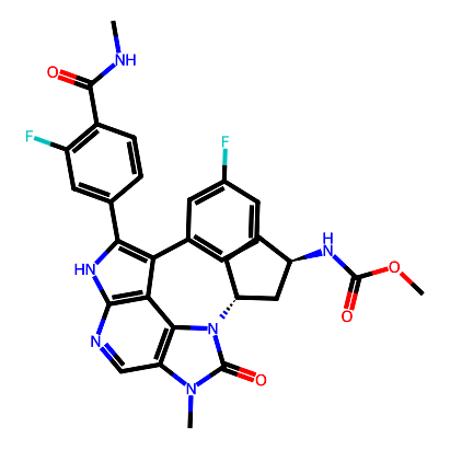 CNC(=O)c1ccc(-c2[nH]c3ncc4c(c3c2-c2cccc(F)c2)n([C@@H]2CC[C@@H](NC(=O)OC)C2)c(=O)n4C)cc1F